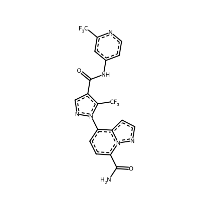 NC(=O)c1ccc(-n2ncc(C(=O)Nc3ccnc(C(F)(F)F)c3)c2C(F)(F)F)c2ccnn12